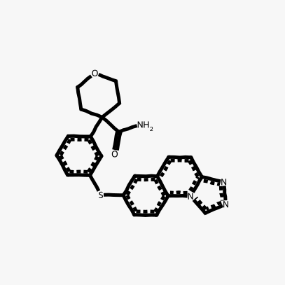 NC(=O)C1(c2cccc(Sc3ccc4c(ccc5nncn54)c3)c2)CCOCC1